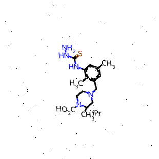 Cc1cc(CN2CCN(C(=O)O)[C@@](C)(C(C)C)C2)c(C)c(NC(=S)NN)c1